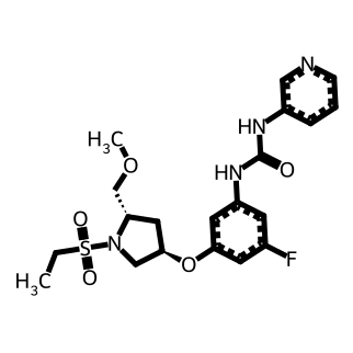 CCS(=O)(=O)N1C[C@H](Oc2cc(F)cc(NC(=O)Nc3cccnc3)c2)C[C@H]1COC